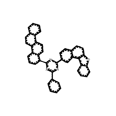 c1ccc(-c2nc(-c3ccc4ccc5oc6ccccc6c5c4c3)nc(-c3cccc4c3ccc3c5ccccc5ccc43)n2)cc1